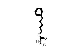 [CH2]CCCNC(=O)OCCCCCc1ccccc1